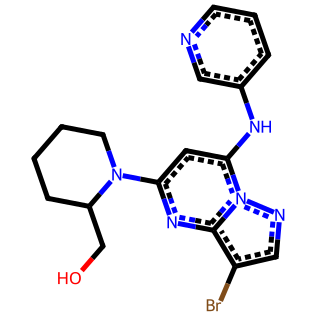 OCC1CCCCN1c1cc(Nc2cccnc2)n2ncc(Br)c2n1